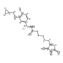 C[C@@H](NC(=O)CCCCCN1CC(=O)NC1=O)c1ccc(F)c(OCC2CC2)c1